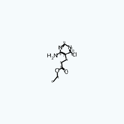 CCOC(=O)CCc1c(N)ncnc1Cl